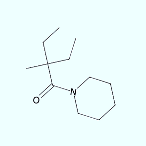 CCC(C)(CC)C(=O)N1CCCCC1